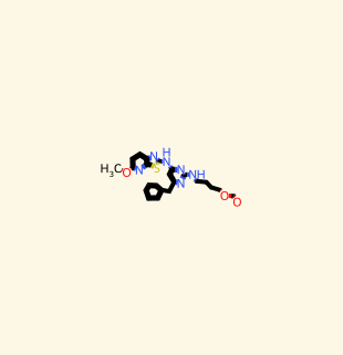 COc1ccc2nc(Nc3cc(Cc4ccccc4)nc(NCCCCOC=O)n3)sc2n1